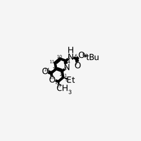 CC[C@@H]1c2nc(NC(=O)OC(C)(C)C)ccc2C(=O)O[C@@H]1C